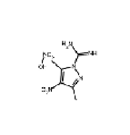 Cc1nn(C(=N)N)c(C)c1[N+](=O)[O-].O=[N+]([O-])O